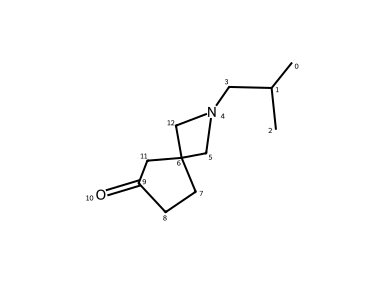 CC(C)CN1CC2(CCC(=O)C2)C1